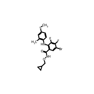 CSc1ccc(Nc2c(C(=O)NOCC3CC3)cc(Br)c(F)c2F)c(C)c1